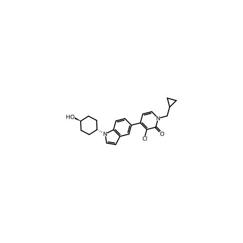 O=c1c(Cl)c(-c2ccc3c(ccn3[C@H]3CC[C@H](O)CC3)c2)ccn1CC1CC1